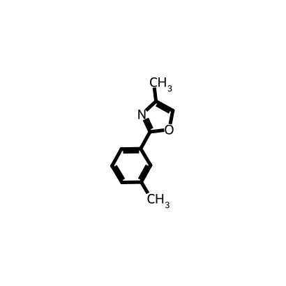 Cc1cccc(-c2nc(C)co2)c1